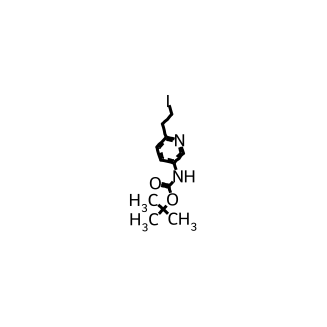 CC(C)(C)OC(=O)Nc1ccc(CCI)nc1